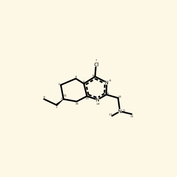 CC[C@H]1CCc2c(Cl)nc(CN(C)C)nc2C1